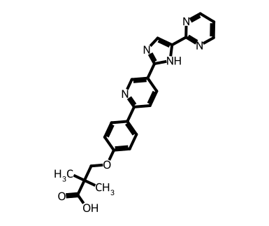 CC(C)(COc1ccc(-c2ccc(-c3ncc(-c4ncccn4)[nH]3)cn2)cc1)C(=O)O